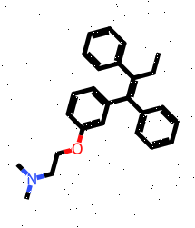 CC/C(=C(\c1ccccc1)c1cccc(OCCN(C)C)c1)c1ccccc1